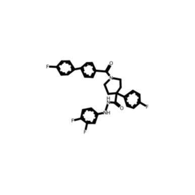 O=C(c1ccc(-c2ccc(F)cc2)cc1)N1CCC(C(=O)NNc2ccc(F)c(F)c2)(c2ccc(F)cc2)CC1